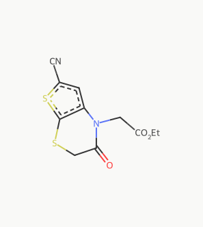 CCOC(=O)CN1C(=O)CSc2sc(C#N)cc21